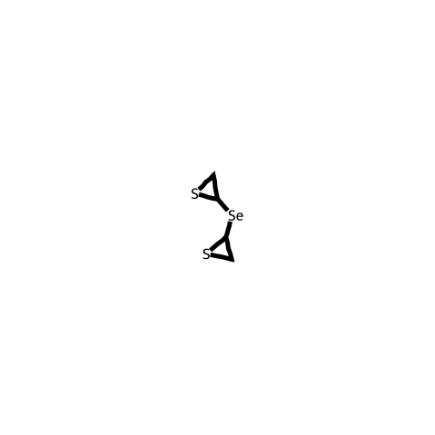 C1SC1[Se]C1CS1